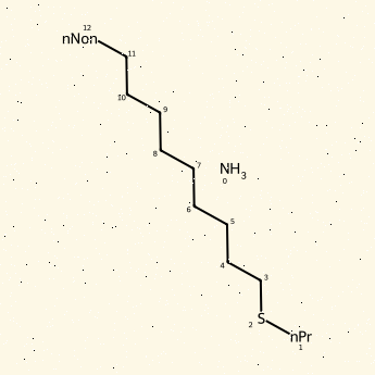 N.[CH2]CCSCCCCCCCCCCCCCCCCCC